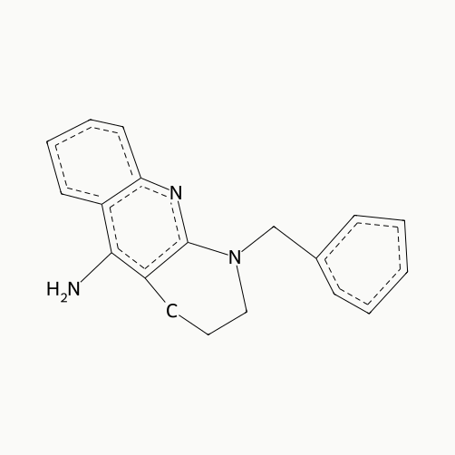 Nc1c2c(nc3ccccc13)N(Cc1ccccc1)CCC2